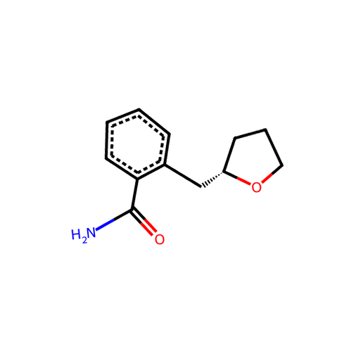 NC(=O)c1ccccc1C[C@@H]1CCCO1